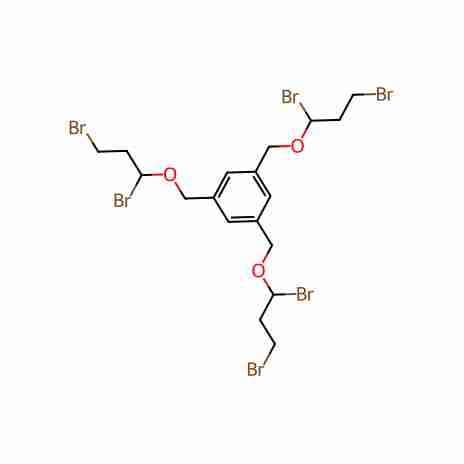 BrCCC(Br)OCc1cc(COC(Br)CCBr)cc(COC(Br)CCBr)c1